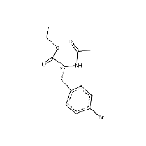 CCOC(=O)[C@@H](Cc1ccc(Br)cc1)NC(C)=O